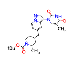 Cc1cn(-c2cnn3ccc(C[C@@H]4CCN(C(=O)OC(C)(C)C)[C@@H](C)C4)cc23)c(=O)[nH]c1=O